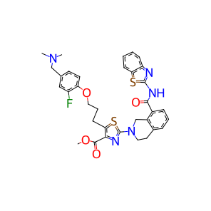 COC(=O)c1nc(N2CCc3cccc(C(=O)Nc4nc5ccccc5s4)c3C2)sc1CCCOc1ccc(CN(C)C)cc1F